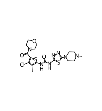 Cc1c(NC(=O)Nc2nnc(N3CCN(C)CC3)s2)sc(C(=O)N2CCOCC2)c1Cl